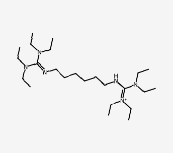 CCN(CC)C(=NCCCCCCNC(N(CC)CC)=[N+](CC)CC)N(CC)CC